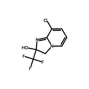 OC1(C(F)(F)F)CN2C=CC=C(Cl)C2=N1